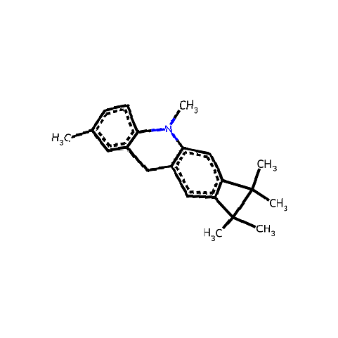 Cc1ccc2c(c1)Cc1cc3c(cc1N2C)C(C)(C)C3(C)C